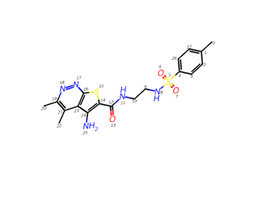 Cc1ccc(S(=O)(=O)NCCNC(=O)c2sc3nnc(C)c(C)c3c2N)cc1